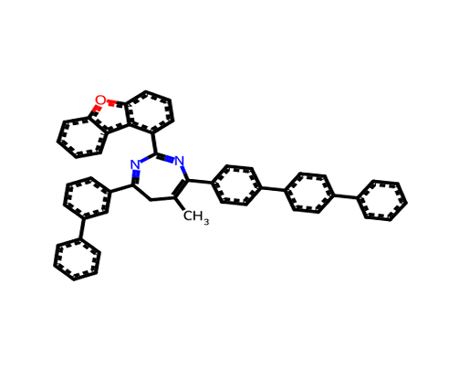 CC1=C(c2ccc(-c3ccc(-c4ccccc4)cc3)cc2)N=C(c2cccc3oc4ccccc4c23)N=C(c2cccc(-c3ccccc3)c2)C1